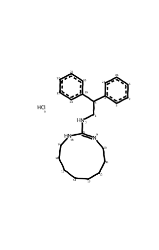 Cl.c1ccc(C(CN/C2=N/CCCCCCCCN2)c2ccccc2)cc1